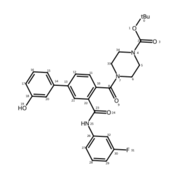 CC(C)(C)OC(=O)N1CCN(C(=O)c2ccc(-c3cccc(O)c3)cc2C(=O)Nc2cccc(F)c2)CC1